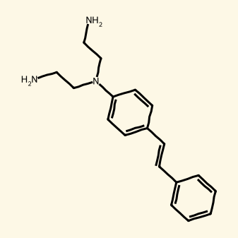 NCCN(CCN)c1ccc(C=Cc2ccccc2)cc1